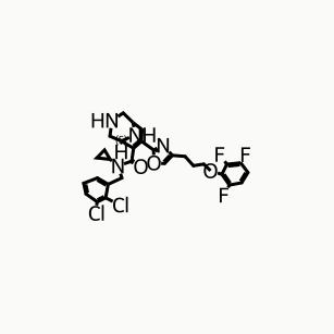 O=C(C1=C(c2nc(CCCOc3c(F)ccc(F)c3F)co2)CC2CNC[C@H]1N2)N(Cc1cccc(Cl)c1Cl)C1CC1